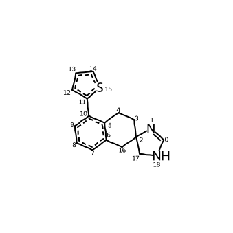 C1=NC2(CCc3c(cccc3-c3cccs3)C2)CN1